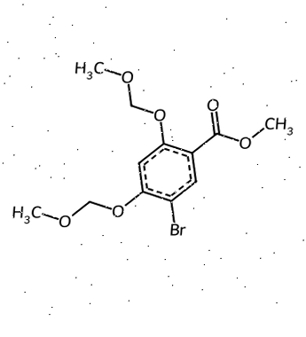 COCOc1cc(OCOC)c(C(=O)OC)cc1Br